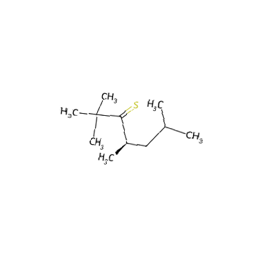 CC(C)C[C@@H](C)C(=S)C(C)(C)C